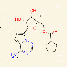 C[C@]1(COC(=O)C2CCCC2)O[C@@H](c2ccc3c(N)ncnn23)[C@H](O)[C@@H]1O